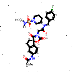 CCN(C(=O)O)S(=O)(=O)N1CCC[C@H](N(Cc2ccc(F)cc2)C(=O)CN2C(=O)O[C@@]3(CCc4cc(NC(=O)NC)ccc43)C2=O)C1